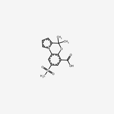 CC1(C)Oc2c(C(=O)O)cc(S(C)(=O)=O)cc2-n2cccc21